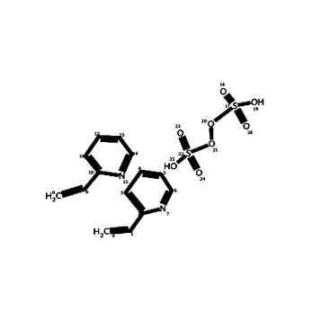 C=Cc1ccccn1.C=Cc1ccccn1.O=S(=O)(O)OOS(=O)(=O)O